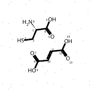 N[C@@H](CS)C(=O)O.O=C(O)C=CC(=O)O